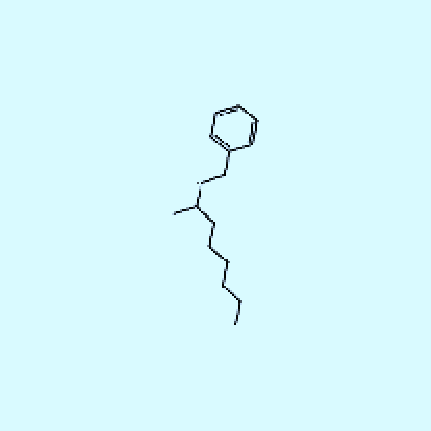 CCCCCCC(C)[CH]Cc1ccccc1